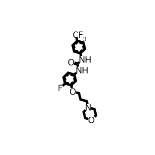 O=C(Nc1ccc(C(F)(F)F)cc1)Nc1ccc(F)c(OCCCN2CCOCC2)c1